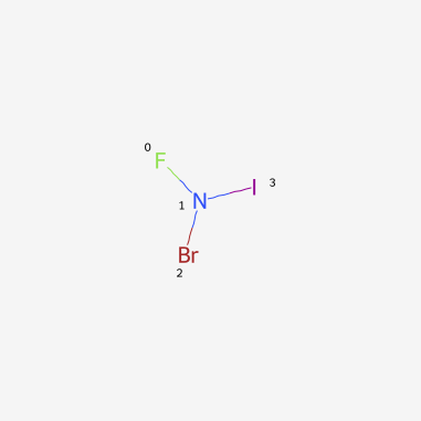 FN(Br)I